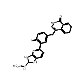 O=C(O)NC1Nc2ccc(-c3cc(Cc4n[nH]c(=O)c5c4=CCCC=5)ccc3F)nc2N1